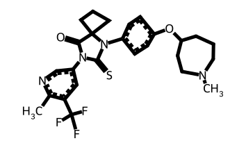 Cc1ncc(N2C(=O)C3(CCC3)N(c3ccc(OC4CCCN(C)CC4)cc3)C2=S)cc1C(F)(F)F